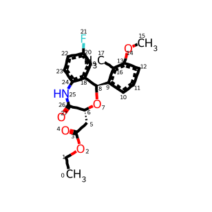 CCOC(=O)C[C@H]1O[C@H](c2cccc(OC)c2C)c2cc(F)ccc2NC1=O